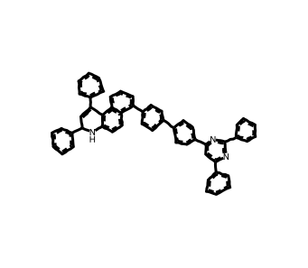 C1=C(c2ccccc2)c2c(ccc3c(-c4ccc(-c5ccc(-c6cc(-c7ccccc7)nc(-c7ccccc7)n6)cc5)cc4)cccc23)NC1c1ccccc1